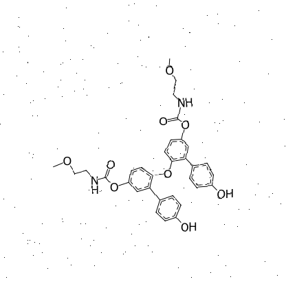 COCCNC(=O)Oc1ccc(Oc2ccc(OC(=O)NCCOC)cc2-c2ccc(O)cc2)c(-c2ccc(O)cc2)c1